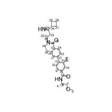 COC[C@H](C)NC(=O)c1ccc(-c2ccc3c(c2)CCN([C@H](C)CC(=N)C2CCC2)C3=O)c(F)c1